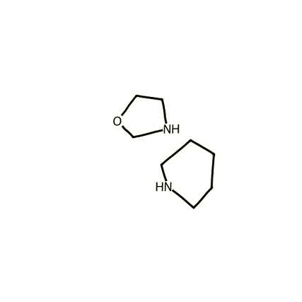 C1CCNCC1.C1COCN1